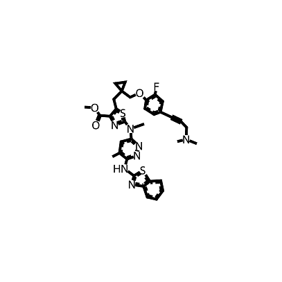 COC(=O)c1nc(N(C)c2cc(C)c(Nc3nc4ccccc4s3)nn2)sc1CC1(COc2ccc(C#CCN(C)C)cc2F)CC1